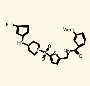 COc1cccc(C(=O)NCc2ccc(S(=O)(=O)N3CCC(Nc4cccc(C(F)(F)F)c4)CC3)s2)c1